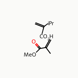 C=C(C(=O)O)C(C)C.C=C(C)C(=O)OC